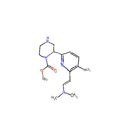 CN(C)/C=C/c1nc(C2CNCCN2C(=O)OC(C)(C)C)ccc1[N+](=O)[O-]